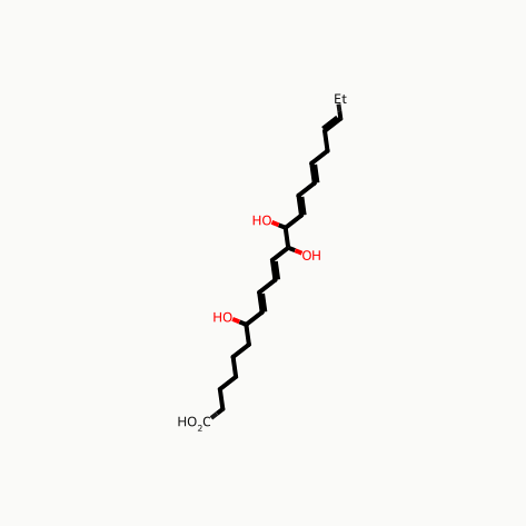 CCC=CCC=CC=CC(O)C(O)C=CC=CC(O)CCCCCC(=O)O